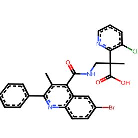 Cc1c(-c2ccccc2)nc2ccc(Br)cc2c1C(=O)NCC(C)(C(=O)O)c1ncccc1Cl